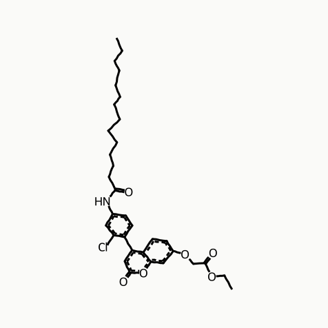 CCCCCCCCCCCCCC(=O)Nc1ccc(-c2cc(=O)oc3cc(OCC(=O)OCC)ccc23)c(Cl)c1